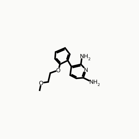 COCCOc1ccccc1-c1ccc(N)nc1N